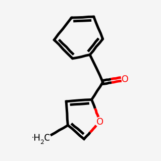 [CH2]c1coc(C(=O)c2ccccc2)c1